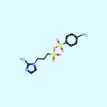 Cc1ccc(S(=O)(=O)OS(=O)(=O)CCCn2ccnc2C)cc1